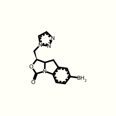 Bc1ccc2c(c1)CC1[C@H](Cn3ccnn3)OC(=O)N21